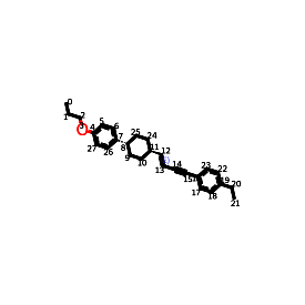 CCCOc1ccc([C@H]2CC[C@H](/C=C/C#Cc3ccc(CC)cc3)CC2)cc1